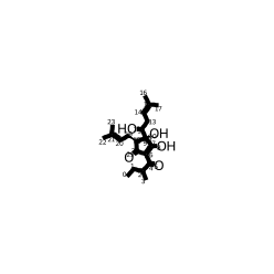 CCC(C)C(=O)C1=C(O)[C@@](O)(C(O)CC=C(C)C)[C@H](CC=C(C)C)C1=O